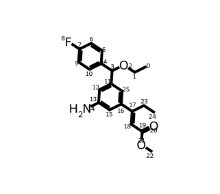 CCOC(c1ccc(F)cc1)c1cc(N)cc(/C(=C/C(=O)OC)CC)c1